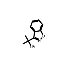 CCCC(C)(C)c1noc2ccccc12